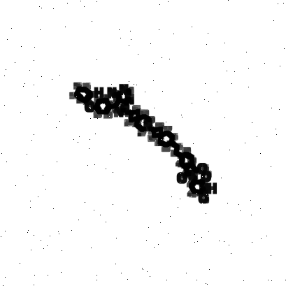 Nc1ncnc2c1c(-c1ccc(Oc3ccccc3)cc1)nn2C1CC2(CCN(C3CC4(CCC(CCc5ccc6c(c5)C(=O)N(C5CCC(=O)NC5=O)C6=O)CC4)C3)CC2)C1